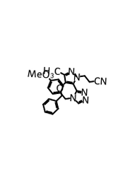 COc1ccc(Cn2cnnc2-c2c(OCc3ccccc3)c(C)nn2CCC#N)cc1